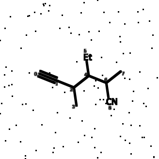 C#CC(C)C(CC)C(C)C#N